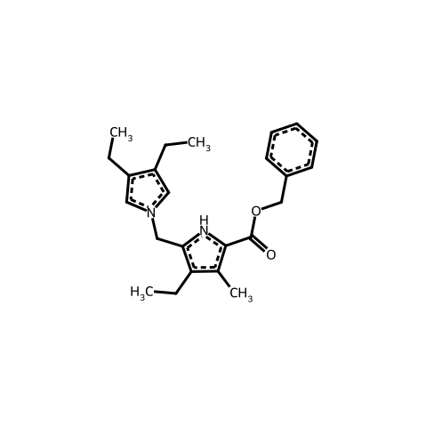 CCc1cn(Cc2[nH]c(C(=O)OCc3ccccc3)c(C)c2CC)cc1CC